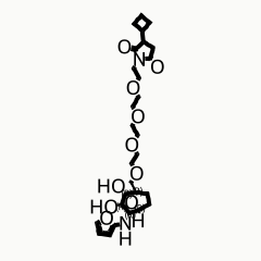 O=C1CC(C2CCC2)C(=O)N1CCOCCOCCOCCOC[C@@]12CC[C@@H](O1)[C@H](Nc1ccco1)[C@@H](O)[C@H]2O